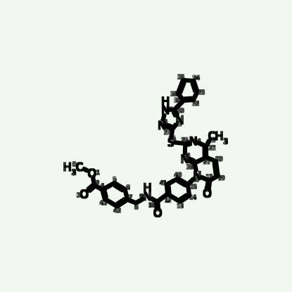 COC(=O)c1ccc(CNC(=O)c2ccc(-n3c(=O)ccc4c(C)nc(Sc5n[nH]c(-c6ccccc6)n5)nc43)cc2)cc1